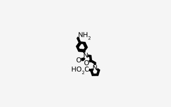 NCc1ccc(N2CC(CN3CCCC3C(=O)O)OC2=O)cc1